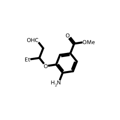 CCC(CC=O)Oc1cc(C(=O)OC)ccc1N